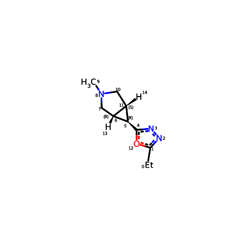 CCc1nnc([C@H]2[C@@H]3CN(C)C[C@@H]32)o1